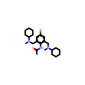 CC(=O)Nc1c(CN(C)C2CCCCC2)cc(Br)cc1CN(C)C1CCCCC1